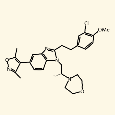 COc1ccc(CCc2nc3cc(-c4c(C)noc4C)ccc3n2C[C@@H](C)N2CCOCC2)cc1Cl